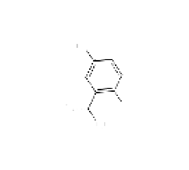 Cc1ccc(F)c([C@@H](C)N)c1